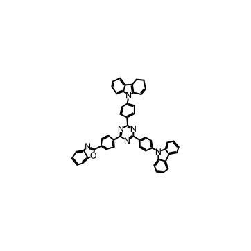 C1=Cc2c(c3ccccc3n2-c2ccc(-c3nc(-c4ccc(-c5nc6ccccc6o5)cc4)nc(-c4ccc(-n5c6ccccc6c6ccccc65)cc4)n3)cc2)CC1